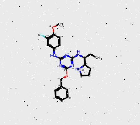 CCC(Nc1nc(Nc2ccc(OC)c(F)c2)nc(OCc2ccccc2)n1)C1CCCN1